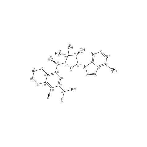 Cc1ncnc2c1ccn2[C@@H]1O[C@H]([C@H](O)c2cc(C(F)F)c(F)c3c2CNCC3)[C@@](C)(O)[C@H]1O